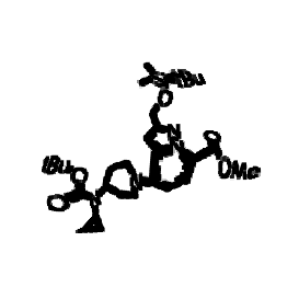 COC(=O)c1ccc(N2CCC(N(C(=O)OC(C)(C)C)C3CC3)CC2)c2cc(CO[Si](C)(C)C(C)(C)C)nn12